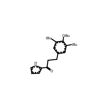 CC(C)COc1c(C(C)(C)C)cc(CCC(=O)c2ccc[nH]2)cc1C(C)(C)C